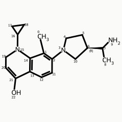 Cc1c(N2CC[C@@H](C(C)N)C2)ccc2c1N(C1CC1)CC=C2O